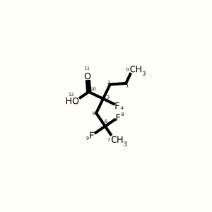 CCCC(F)(CC(C)(F)F)C(=O)O